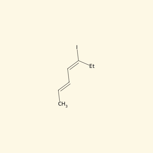 CC=C/C=C(/I)CC